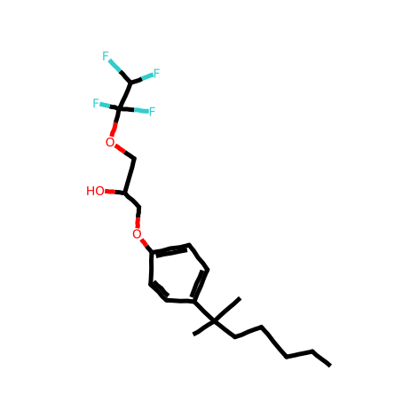 CCCCCC(C)(C)c1ccc(OCC(O)COC(F)(F)C(F)F)cc1